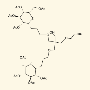 C=CCOCC(CO)(COCCC[C@H]1S[C@@H](COC(C)=O)[C@@H](OC(C)=O)[C@H](OC(C)=O)[C@H]1OC(C)=O)COCCC[C@H]1S[C@@H](COC(C)=O)[C@@H](OC(C)=O)[C@H](OC(C)=O)[C@H]1OC(C)=O